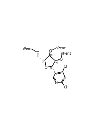 CCCCCOC[C@H]1O[C@@H](c2cnc(Cl)nc2Cl)[C@H](OCCCCC)[C@@H]1OCCCCC